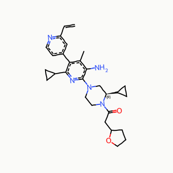 C=Cc1cc(-c2c(C3CC3)nc(N3CCN(C(=O)CC4CCCO4)[C@H](C4CC4)C3)c(N)c2C)ccn1